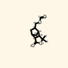 CC1(C)OC(=O)C2C3CC(COC=O)C(C3)C21